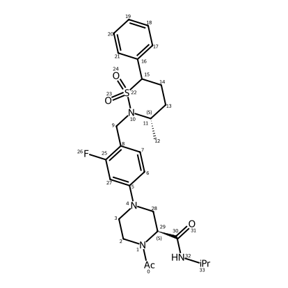 CC(=O)N1CCN(c2ccc(CN3[C@@H](C)CCC(c4ccccc4)S3(=O)=O)c(F)c2)C[C@H]1C(=O)NC(C)C